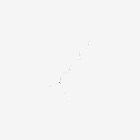 COCCOC=CC(=O)O[SiH3]